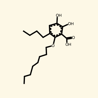 CCCCCCCCOc1c(CCCC)cc(O)c(O)c1C(=O)O